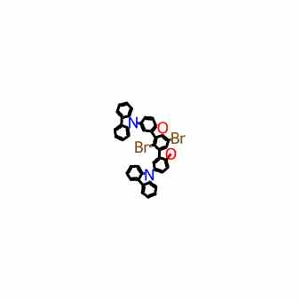 Brc1c2oc3ccc(-n4c5ccccc5c5ccccc54)cc3c2c(Br)c2c1oc1ccc(-n3c4ccccc4c4ccccc43)cc12